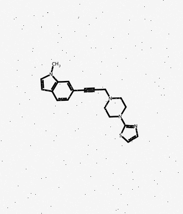 Cn1ccc2ccc(C#CCN3CCN(c4nccs4)CC3)cc21